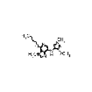 CCCCOc1ncc(Nc2cn(C)nc2OC)c2ncn(C)c12